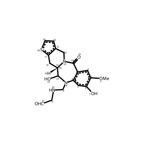 COc1cc2c(cc1O)N(CNCC=O)C(O)[C@@H]1Cc3sccc3CN1C2=O